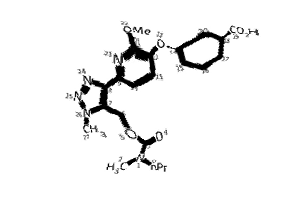 CCCN(C)C(=O)OCc1c(-c2ccc(O[C@H]3CCC[C@H](C(=O)O)C3)c(OC)n2)nnn1C